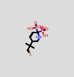 CC(C)(C=S)C1C=CC(P(=O)(O)O)(P(=O)(O)O)NC1